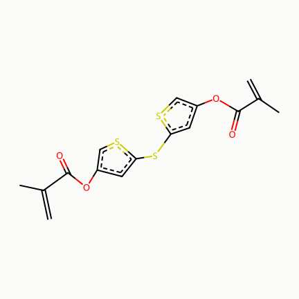 C=C(C)C(=O)Oc1csc(Sc2cc(OC(=O)C(=C)C)cs2)c1